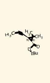 CC#C[C@@H]1[C@@H](C(=O)OC(C)(C)C)C1(C)C